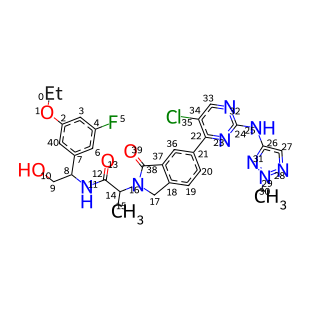 CCOc1cc(F)cc(C(CO)NC(=O)C(C)N2Cc3ccc(-c4nc(Nc5cnn(C)n5)ncc4Cl)cc3C2=O)c1